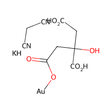 N#CCC#N.O=C(O)CC(O)(CC(=O)[O][Au])C(=O)O.[KH]